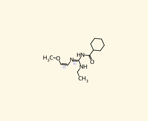 CCN/C(=N\C=C/OC)NC(=O)C1CCCCC1